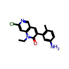 CCn1c(=O)c(-c2cc(N)ccc2C)cc2cnc(Cl)cc21